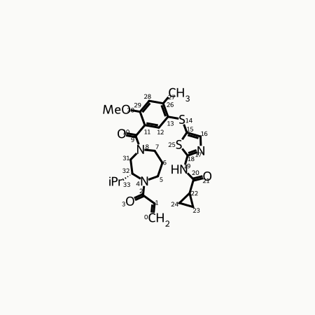 C=CC(=O)N1CCCN(C(=O)c2cc(Sc3cnc(NC(=O)C4CC4)s3)c(C)cc2OC)C[C@H]1C(C)C